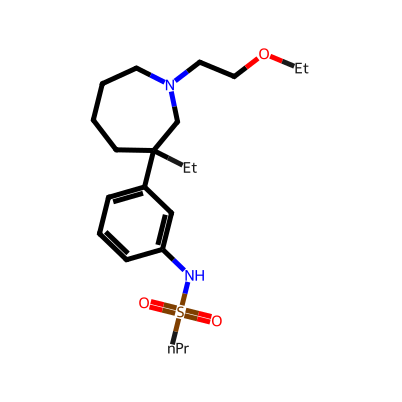 CCCS(=O)(=O)Nc1cccc(C2(CC)CCCCN(CCOCC)C2)c1